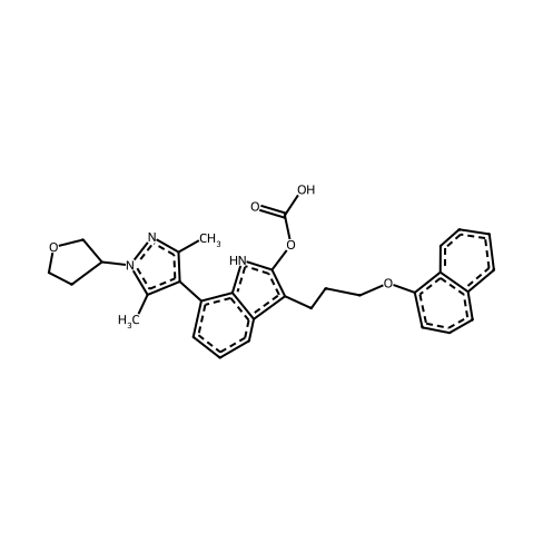 Cc1nn(C2CCOC2)c(C)c1-c1cccc2c(CCCOc3cccc4ccccc34)c(OC(=O)O)[nH]c12